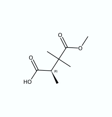 COC(=O)C(C)(C)[C@@H](C)C(=O)O